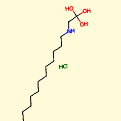 CCCCCCCCCCCCNCC(O)(O)O.Cl